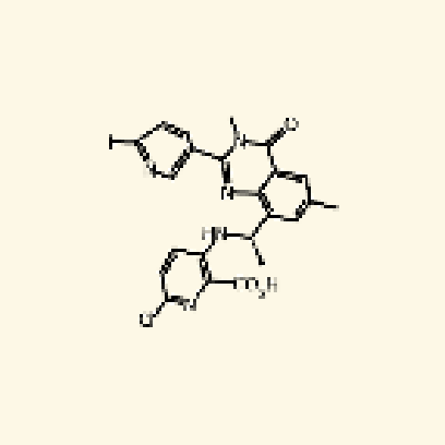 Cc1cc([C@@H](C)Nc2ccc(Cl)nc2C(=O)O)c2nc(-c3ccc(I)nc3)n(C)c(=O)c2c1